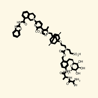 Cc1c(-c2ccc(N3CCc4cccc(C(=O)Nc5nc6ccccc6s5)c4C3)nc2C(=O)O)cnn1CC12CC3(OCCN(CCS(=O)(=O)O)C(=O)OCc4ccc(NC(=O)C(C)NC(=O)C(N)C(C)C)cc4CC[C@@H]4O[C@H](C(=O)O)[C@@H](O)[C@H](O)[C@H]4O)C[C@](C)(C1)C[C@](C)(C2)C3